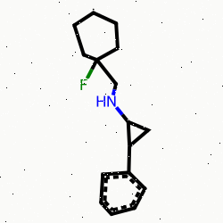 FC1(CNC2CC2c2ccccc2)CC[CH]CC1